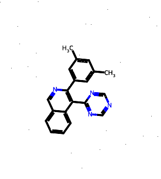 Cc1cc(C)cc(-c2ncc3ccccc3c2-c2ncncn2)c1